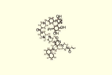 C=CC(=O)N1CCN(c2nc(OC[C@@H]3CC[C@H](CN4CCN(C(=O)C5CCN(Cc6ccc(-n7c(O)nnc7-c7cc(C(C)C)c(O)cc7O)cc6)CC5)CC4)N3C)nc3c2CCN(c2cccc4ccccc24)C3)CC1